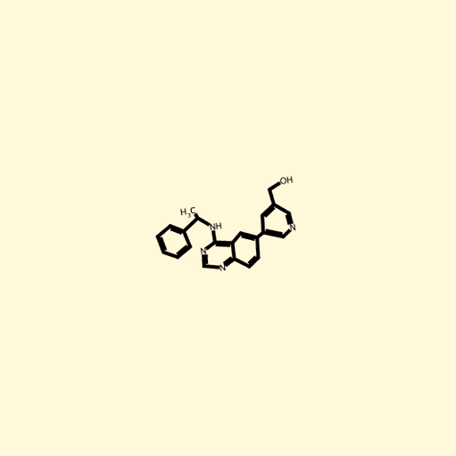 CC(Nc1ncnc2ccc(-c3cncc(CO)c3)cc12)c1ccccc1